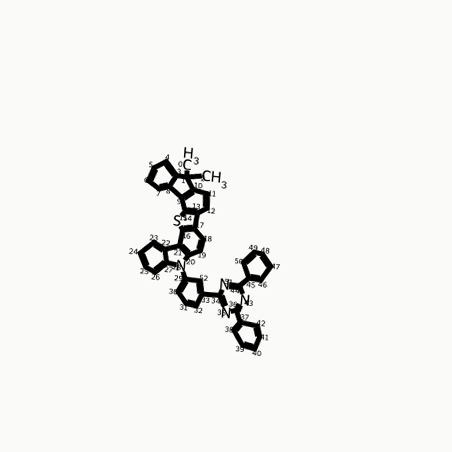 CC1(C)c2ccccc2-c2c1ccc1c2sc2c1ccc1c2c2ccccc2n1-c1cccc(-c2nc(-c3ccccc3)nc(-c3ccccc3)n2)c1